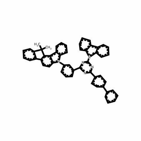 CC1(C)c2ccccc2-c2ccc3c(c21)c1ccccc1n3-c1cccc(-c2nc(-c3ccc(-c4ccccc4)cc3)nc(-n3c4ccccc4c4ccccc43)n2)c1